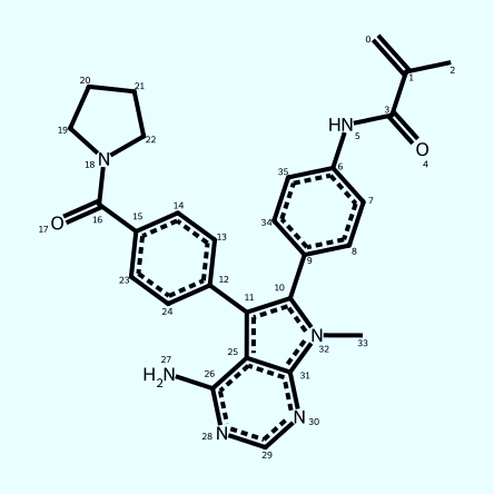 C=C(C)C(=O)Nc1ccc(-c2c(-c3ccc(C(=O)N4CCCC4)cc3)c3c(N)ncnc3n2C)cc1